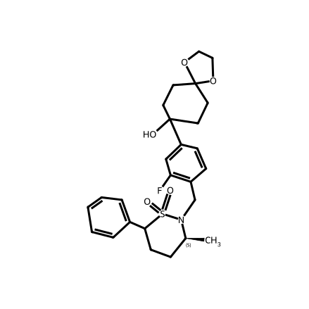 C[C@H]1CCC(c2ccccc2)S(=O)(=O)N1Cc1ccc(C2(O)CCC3(CC2)OCCO3)cc1F